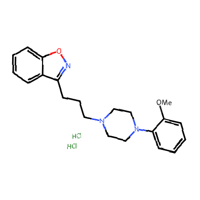 COc1ccccc1N1CCN(CCCc2noc3ccccc23)CC1.Cl.Cl